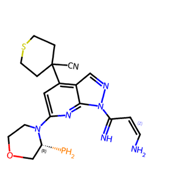 N#CC1(c2cc(N3CCOC[C@H]3P)nc3c2cnn3C(=N)/C=C\N)CCSCC1